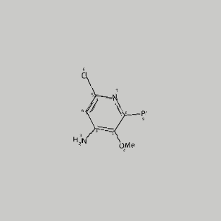 COc1c(N)cc(Cl)nc1C(C)C